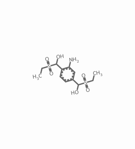 CCS(=O)(=O)C(O)c1ccc(C(O)S(=O)(=O)CC)c(N)c1